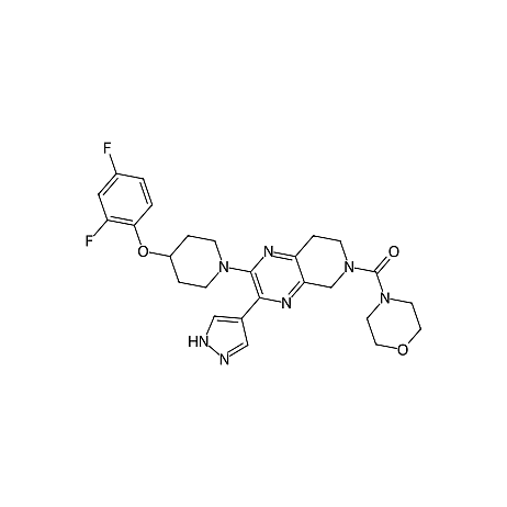 O=C(N1CCOCC1)N1CCc2nc(N3CCC(Oc4ccc(F)cc4F)CC3)c(-c3cn[nH]c3)nc2C1